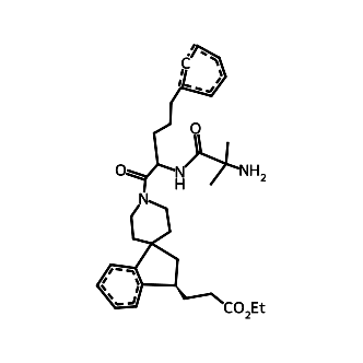 CCOC(=O)CC[C@@H]1CC2(CCN(C(=O)C(CCCc3ccccc3)NC(=O)C(C)(C)N)CC2)c2ccccc21